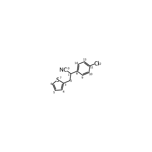 N#CC(Cc1cccs1)c1ccc(Cl)cc1